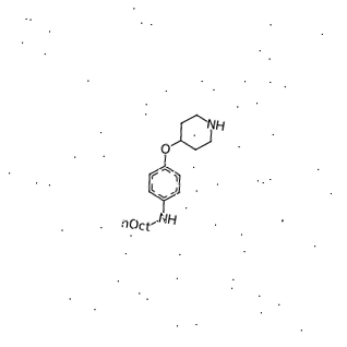 CCCCCCCCNc1ccc(OC2CCNCC2)cc1